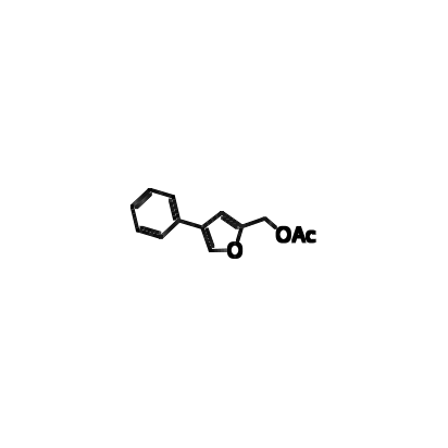 CC(=O)OCc1cc(-c2ccccc2)co1